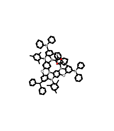 Cc1cc(C)c(N2c3cc4c(cc3B3c5cc6c(cc5Oc5cc(C(c7ccccc7)c7ccccc7)cc2c53)N(c2c(C)cc(C)cc2C)c2cc(N(c3ccccc3)c3ccccc3)cc3c2B6C2Sc5ccccc5C2O3)B2c3c(cc(N(c5ccccc5)c5ccccc5)cc3OC3c5ccccc5SC23)O4)c(C)c1